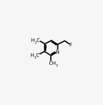 Cc1cc(CF)nc(C)c1C